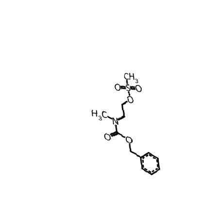 CN(CCOS(C)(=O)=O)C(=O)OCc1ccccc1